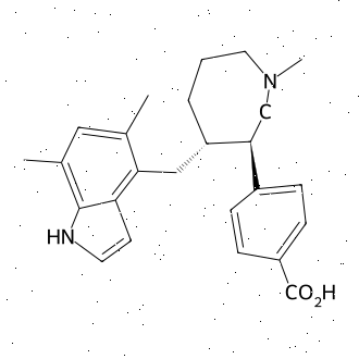 Cc1cc(C)c2[nH]ccc2c1C[C@@H]1CCCN(C)C[C@H]1c1ccc(C(=O)O)cc1